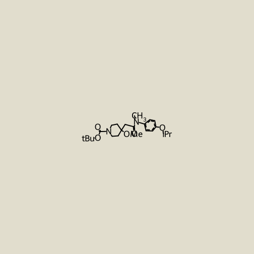 COC1(CC(=O)N(C)c2ccc(OC(C)C)cc2)CCN(C(=O)OC(C)(C)C)CC1